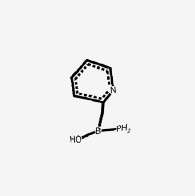 OB(P)c1ccccn1